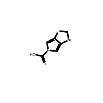 O=C(O)n1cc2c(c1)SCN2